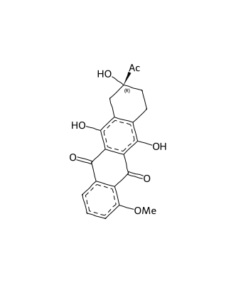 COc1cccc2c1C(=O)c1c(O)c3c(c(O)c1C2=O)C[C@@](O)(C(C)=O)CC3